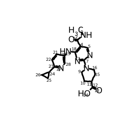 CNC(=O)c1cnc(N2CCC(C(=O)O)CC2)nc1Nc1ccc(C2CC2)nc1